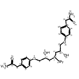 CC(C)N(C[C@@H](O)COc1ccc(CC(N)=O)cc1)C[C@@H](O)COc1ccc(CC(N)=O)cc1